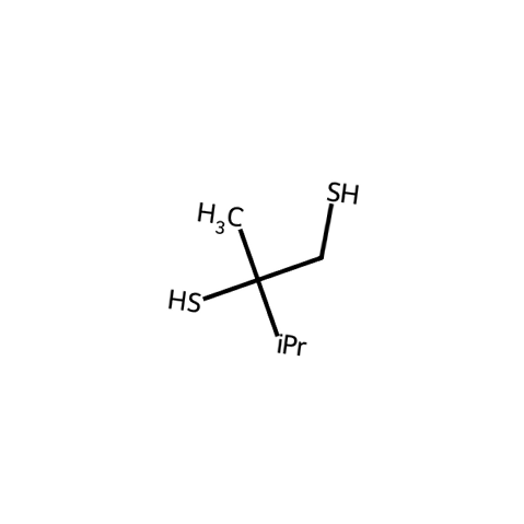 CC(C)C(C)(S)CS